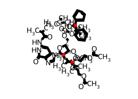 CC(=O)OCCOC(OCCOC(C)=O)OC1[C@@H](OP(C)N(C(C)C)C(C)C)[C@@H](CO[Si](OC(c2ccccc2)c2ccccc2)(O[Si](C)(C)C)O[Si](C)(C)C)O[C@H]1n1cnc2c(=O)[nH]c(NC(=O)C(C)C)cc21